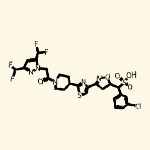 O=C(Cn1nc(C(F)F)cc1C(F)F)N1CCC(c2nc(C3=NOC(C(c4cccc(Cl)c4)S(=O)(=O)O)C3)cs2)CC1